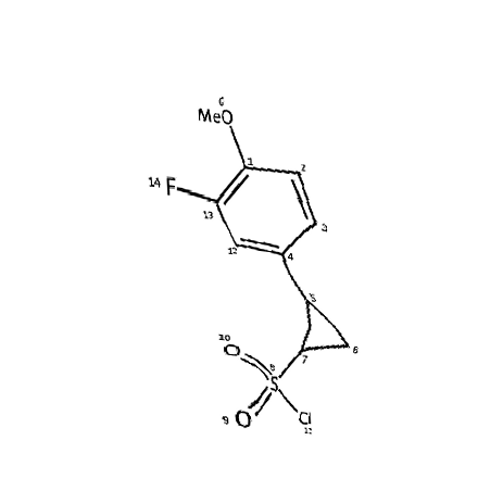 COc1ccc(C2CC2S(=O)(=O)Cl)cc1F